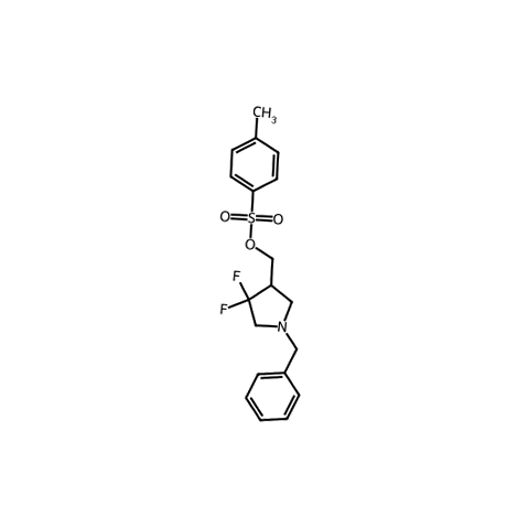 Cc1ccc(S(=O)(=O)OCC2CN(Cc3ccccc3)CC2(F)F)cc1